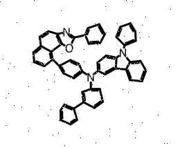 c1ccc(-c2cccc(N(c3ccc(-c4cccc5ccc6nc(-c7ccccc7)oc6c45)cc3)c3ccc4c(c3)c3ccccc3n4-c3ccccc3)c2)cc1